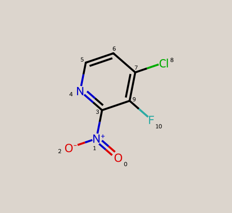 O=[N+]([O-])c1nccc(Cl)c1F